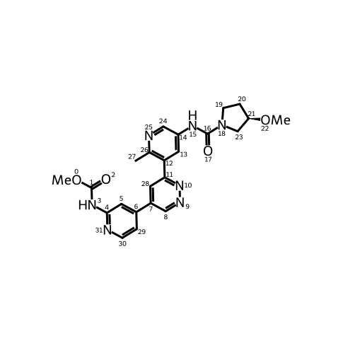 COC(=O)Nc1cc(-c2cnnc(-c3cc(NC(=O)N4CC[C@@H](OC)C4)cnc3C)c2)ccn1